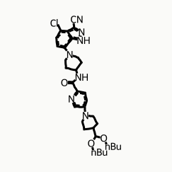 CCCCOC(OCCCC)C1CCN(c2ccc(C(=O)NC3CCN(c4ccc(Cl)c5c(C#N)n[nH]c45)CC3)nc2)CC1